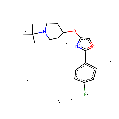 CC(C)(C)N1CCC(Oc2coc(-c3ccc(F)cc3)n2)CC1